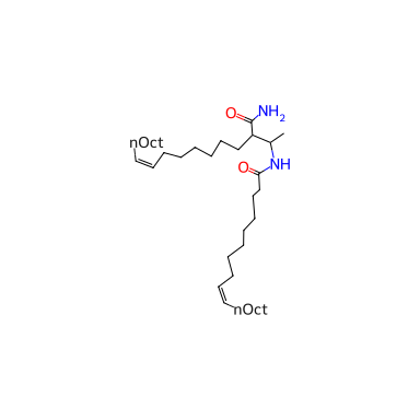 CCCCCCCC/C=C\CCCCCCCC(=O)NC(C)C(CCCCCC/C=C\CCCCCCCC)C(N)=O